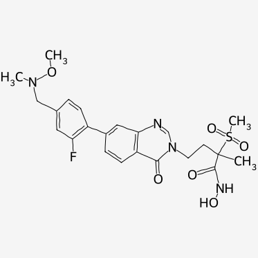 CON(C)Cc1ccc(-c2ccc3c(=O)n(CCC(C)(C(=O)NO)S(C)(=O)=O)cnc3c2)c(F)c1